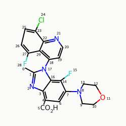 Cc1nc2c(C(=O)O)cc(N3CCOCC3)c(F)c2n1-c1ccnc2c(Cl)ccc(F)c12